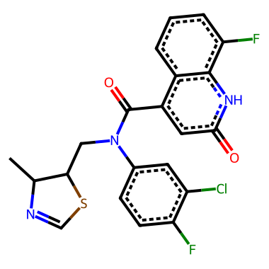 CC1N=CSC1CN(C(=O)c1cc(=O)[nH]c2c(F)cccc12)c1ccc(F)c(Cl)c1